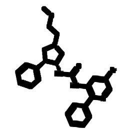 COCCN1C[C@H](NC(=O)Nc2cc(Br)cnc2-c2ccccc2)[C@@H](c2ccccc2)C1